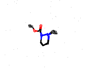 CC(C)(C)OC(=O)N1CCCN1C(C)(C)C